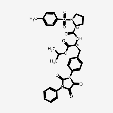 Cc1ccc(S(=O)(=O)N2CCC[C@H]2C(=O)N[C@@H](Cc2ccc(N3C(=O)C(=O)N(c4ccccc4)C3=O)cc2)C(=O)OC(C)C)cc1